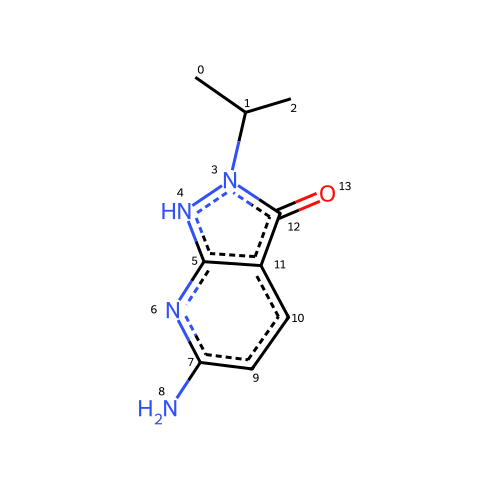 CC(C)n1[nH]c2nc(N)ccc2c1=O